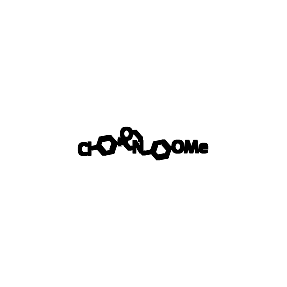 COc1ccc(CN2CCO[C@@H](c3ccc(Cl)cc3)C2)cc1